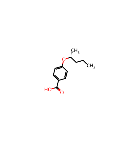 CCC[C@@H](C)Oc1ccc(C(=O)O)cc1